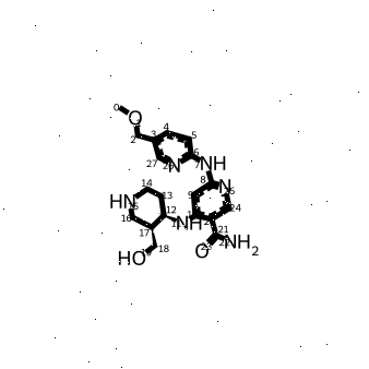 COCc1ccc(Nc2cc(N[C@@H]3CCNC[C@@H]3CO)c(C(N)=O)cn2)nc1